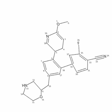 COC1=CCC(c2ccc(CC3CNCCO3)cc2-c2ccc(C#N)c(F)c2)C=N1